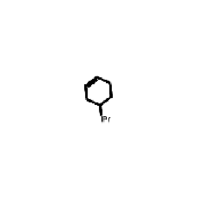 CC(C)C1CC=[C]CC1